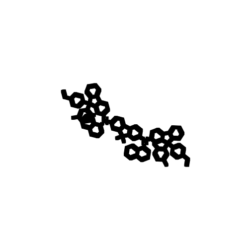 C=Cc1ccc(C2(c3cc(C)ccc3C)c3ccccc3-c3ccc(N(c4ccc5c(c4)C(C)(C)c4cc(N(c6ccc7c(c6)C(c6ccc(C=C)cc6)(c6cc(C)ccc6C)c6ccccc6-7)c6cccc7ccccc67)ccc4-5)c4cccc5ccccc45)cc32)cc1